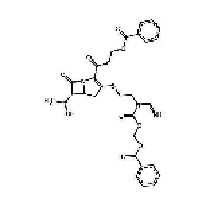 CC(O)[C@H]1C(=O)N2C(C(=O)OCOC(=O)c3ccccc3)=C(SCCN(C=N)C(=O)OCOC(=O)c3ccccc3)CC12